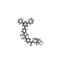 CC1(C)CN(C(=O)c2ccc(NC(=O)Nc3ccc(-c4nc(N5CCOCC5)nc(N5CCOCC5)n4)cc3)cc2)CCN1